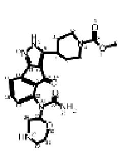 COC(=O)N1CCC(c2[nH]nc3c2C(=O)c2c-3cccc2N(C(N)=O)C2CNCCO2)CC1